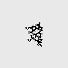 Cc1cc2[nH]c(=O)c3cnn(C4CCOCC4)c3c2cc1C(=O)N1CCN(Cc2[nH]cnc2C)[C@@H](C)C1